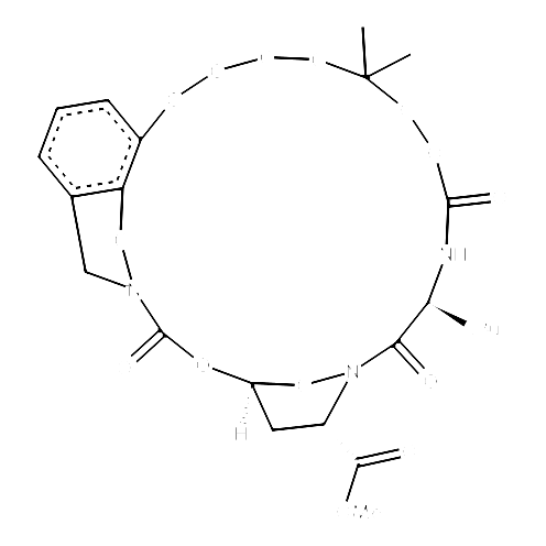 COC(=O)[C@@H]1C[C@@H]2CN1C(=O)[C@H](C(C)(C)C)NC(=O)OCC(C)(C)CCCCc1cccc3c1CN(C3)C(=O)O2